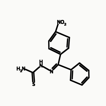 NC(=S)NN=C(c1ccccc1)c1ccc([N+](=O)[O-])cc1